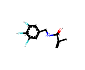 C=C(C)C(=O)NCc1cc(F)c(F)c(F)c1